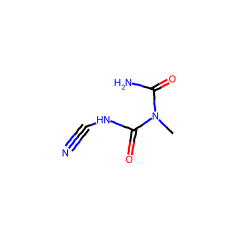 CN(C(N)=O)C(=O)NC#N